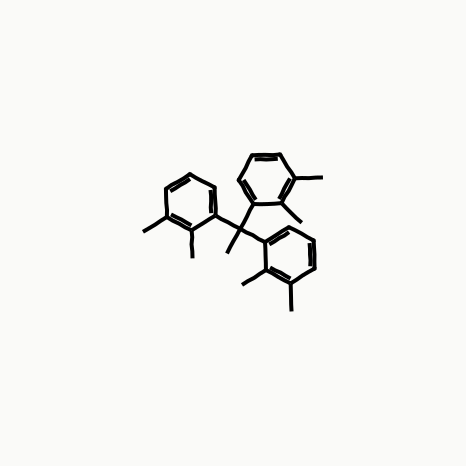 Cc1cccc(C(C)(c2cccc(C)c2C)c2cccc(C)c2C)c1C